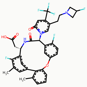 Cc1cc2cc(c1F)[C@H](CC(=O)O)NC(=O)[C@@H](n1cc(CCN3CC(F)C3)c(C(F)(F)F)cc1=O)c1cc(ccc1F)Oc1cccc(C)c1-2